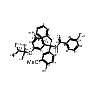 COc1cc([C@@](Cc2ccccc2)(NC(=O)c2cccc(F)c2)c2cc(F)cc(OC(F)(F)C(F)F)c2)ccc1F